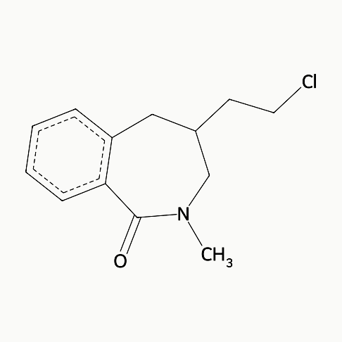 CN1CC(CCCl)Cc2ccccc2C1=O